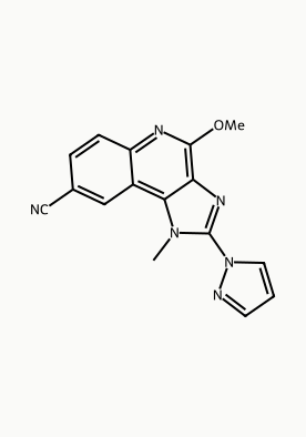 COc1nc2ccc(C#N)cc2c2c1nc(-n1cccn1)n2C